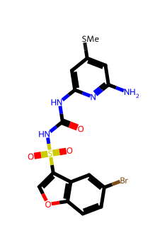 CSc1cc(N)nc(NC(=O)NS(=O)(=O)c2coc3ccc(Br)cc23)c1